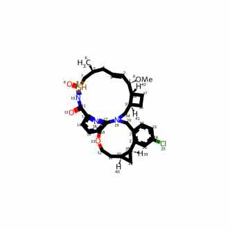 CO[C@H]1/C=C/C[C@H](C)C/[SH](=O)=N\C(=O)c2ccc3c(n2)N(Cc2ccc(Cl)cc2[C@H]2C[C@H]2CCO3)C[C@@H]2CC[C@H]21